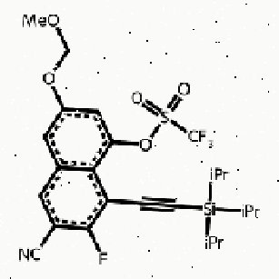 COCOc1cc(OS(=O)(=O)C(F)(F)F)c2c(C#C[Si](C(C)C)(C(C)C)C(C)C)c(F)c(C#N)cc2c1